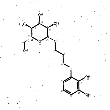 C[C@H]1[C@H](O)[C@@H](O)[C@H](OCCCOc2cccc(O)c2O)O[C@@H]1CO